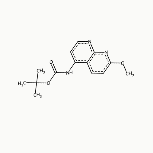 COc1ccc2c(NC(=O)OC(C)(C)C)ccnc2n1